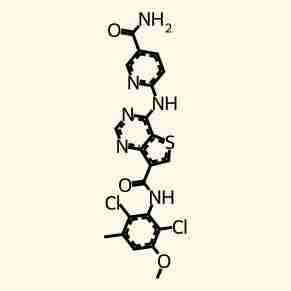 COc1cc(C)c(Cl)c(NC(=O)c2csc3c(Nc4ccc(C(N)=O)cn4)ncnc23)c1Cl